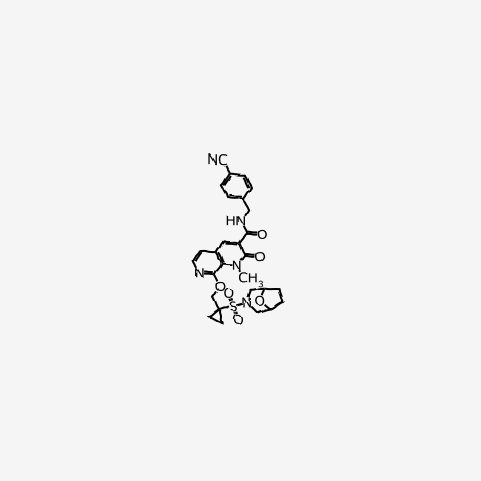 Cn1c(=O)c(C(=O)NCc2ccc(C#N)cc2)cc2ccnc(OCC3(S(=O)(=O)N4CC5CCC(C4)O5)CC3)c21